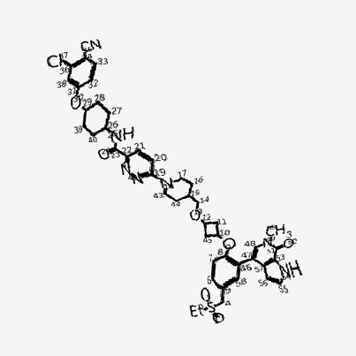 CCS(=O)(=O)Cc1ccc(OC2CC(OCC3CCN(c4ccc(C(=O)NC5CCC(Oc6ccc(C#N)c(Cl)c6)CC5)nn4)CC3)C2)c(-c2cn(C)c(=O)c3[nH]ccc23)c1